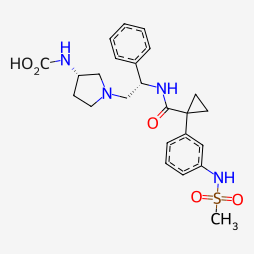 CS(=O)(=O)Nc1cccc(C2(C(=O)N[C@H](CN3CC[C@H](NC(=O)O)C3)c3ccccc3)CC2)c1